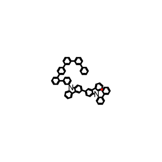 c1ccc(-c2cccc(-c3cccc(-c4ccc(-c5ccccc5-c5cccc(-n6c7ccccc7c7cc(-c8ccc9c(c8)c8ccccc8n9-c8ccccc8-c8ccccc8)ccc76)c5)cc4)c3)c2)cc1